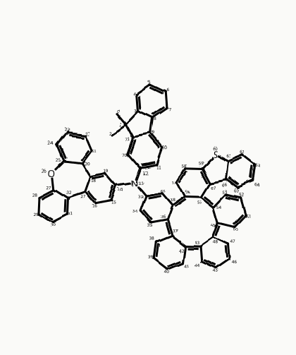 CC1(C)c2ccccc2-c2ccc(N(c3ccc4c(c3)-c3ccccc3Oc3ccccc3-4)c3ccc4c5ccccc5c5ccccc5c5ccccc5c5c(ccc6sc7ccccc7c65)c4c3)cc21